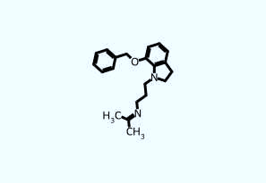 CC(C)=NCCCN1CCc2cccc(OCc3ccccc3)c21